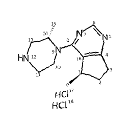 C[C@@H]1CCc2ncnc(N3CCNC[C@@H]3C)c21.Cl.Cl